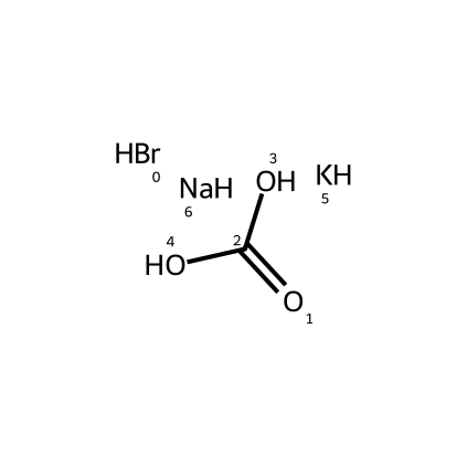 Br.O=C(O)O.[KH].[NaH]